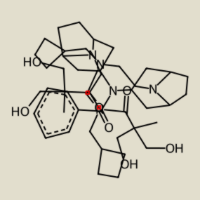 CC(CO)(CO)C(=O)N(CCN1C2CCC1CC(N(C(=O)c1ccccc1)C1CC3CCC(C1)N3CCN(CC1CCC1)C(=O)C(C)(CO)CO)C2)CC1CCC1